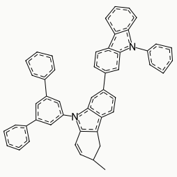 CC1C=Cc2c(c3ccc(-c4ccc5c6ccccc6n(-c6ccccc6)c5c4)cc3n2-c2cc(-c3ccccc3)cc(-c3ccccc3)c2)C1